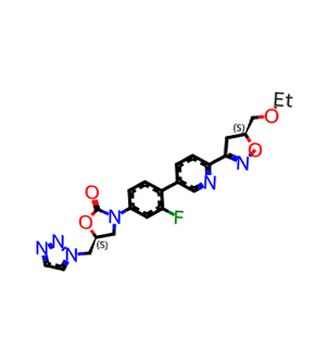 CCOC[C@@H]1CC(c2ccc(-c3ccc(N4C[C@@H](Cn5ccnn5)OC4=O)cc3F)cn2)=NO1